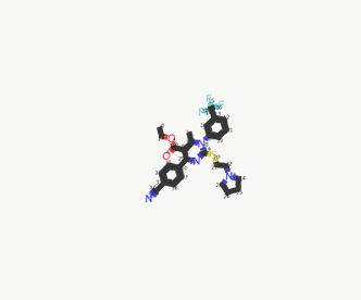 CCOC(=O)C1=C(C)N(c2cccc(C(F)(F)F)c2)C(SCCN2CCCC2)=NC1c1ccc(C#N)cc1